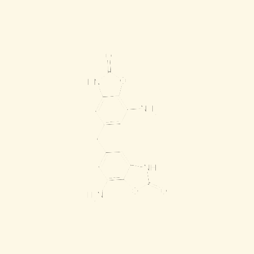 Nc1cc(Cc2cc(N)c3oc(=O)[nH]c3c2)cc2[nH]c(=O)oc12